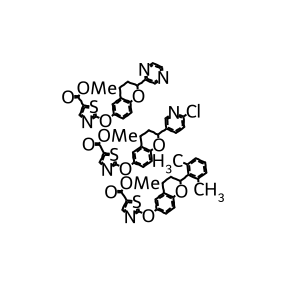 COC(=O)c1cnc(Oc2ccc3c(c2)CCC(c2c(C)cccc2C)O3)s1.COC(=O)c1cnc(Oc2ccc3c(c2)CCC(c2ccc(Cl)nc2)O3)s1.COC(=O)c1cnc(Oc2ccc3c(c2)CCC(c2cnccn2)O3)s1